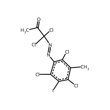 CC(=O)C(Cl)(Cl)N=Nc1c(Cl)c(C)c(Cl)c(I)c1Cl